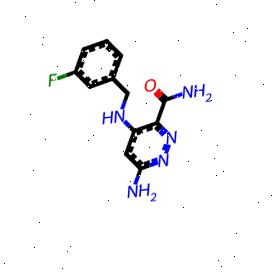 NC(=O)c1nnc(N)cc1NCc1cccc(F)c1